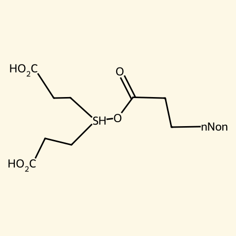 CCCCCCCCCCCC(=O)O[SH](CCC(=O)O)CCC(=O)O